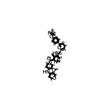 CO[C@@H]1COCC[C@@H]1NC1CCN(C(=O)c2nncc(NC[C@H]3CCC[C@@H](c4ccc(OC(F)(F)F)cc4)O3)c2C)CC1